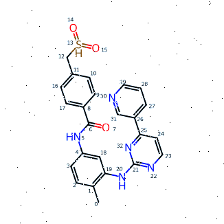 Cc1ccc(NC(=O)c2ccc(C[SH](=O)=O)cc2)cc1Nc1nccc(-c2cccnc2)n1